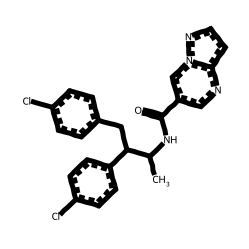 CC(NC(=O)c1cnc2ccnn2c1)C(Cc1ccc(Cl)cc1)c1ccc(Cl)cc1